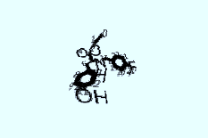 CCOC(=O)[C@H](Cc1ccc(O)cc1)NCc1ccc(F)cc1